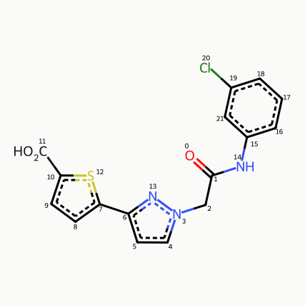 O=C(Cn1ccc(-c2ccc(C(=O)O)s2)n1)Nc1cccc(Cl)c1